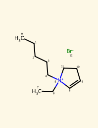 CCCCC[N+]1(CC)C=CCC1.[Br-]